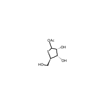 CC(=O)OC1S[C@H](CO)[C@@H](O)[C@H]1O